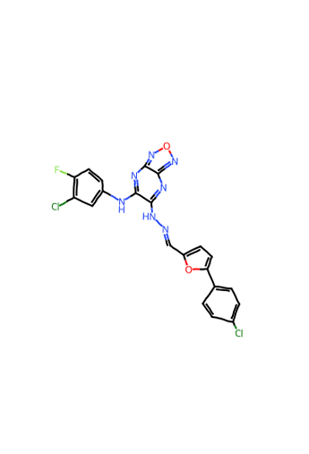 Fc1ccc(Nc2nc3nonc3nc2NN=Cc2ccc(-c3ccc(Cl)cc3)o2)cc1Cl